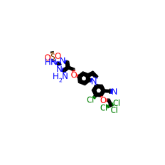 CS(=O)(=O)Nc1ncc(COc2ccc3c(ccn3-c3cc(Cl)c(OCC(Cl)(Cl)Cl)c(C#N)c3)c2)c(N)n1